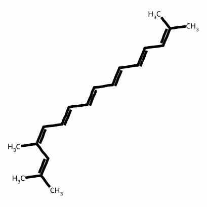 CC(C)=CC=CC=CC=CC=CC=C(C)C=C(C)C